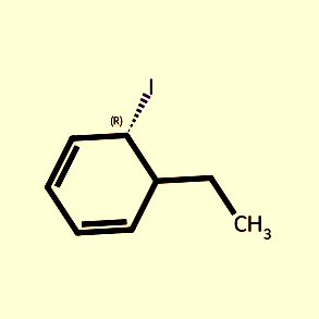 CCC1C=CC=C[C@@H]1I